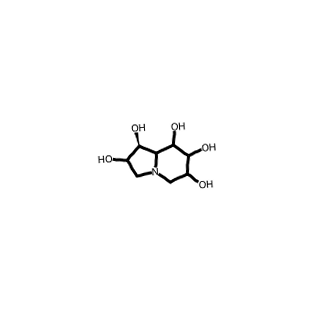 OC1CN2CC(O)[C@@H](O)C2C(O)C1O